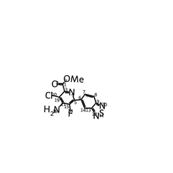 COC(=O)c1nc(-c2ccc3nsnc3c2)c(F)c(N)c1Cl